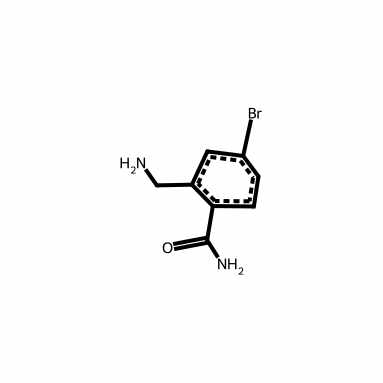 NCc1cc(Br)ccc1C(N)=O